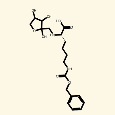 O=C(NCCCC[C@H](NCC1(O)OCC(O)C1O)C(=O)O)OCc1ccccc1